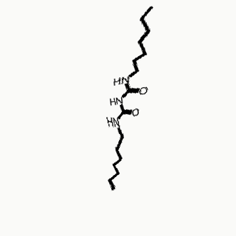 CCCCCCCNC(=O)NC(=O)NCCCCCCC